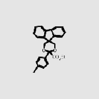 CCOC(=O)C1(c2ccc(C)cc2)OCC2(CO1)c1ccccc1-c1ccccc12